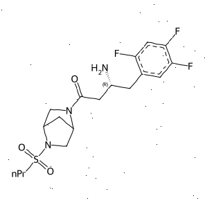 CCCS(=O)(=O)N1CC2CC1CN2C(=O)C[C@H](N)Cc1cc(F)c(F)cc1F